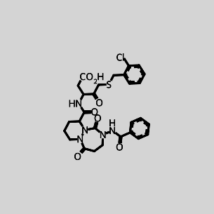 O=C(O)CC(NC(=O)C1CCCN2C(=O)CCN(NC(=O)c3ccccc3)C(=O)N12)C(=O)CSCc1ccccc1Cl